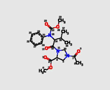 COC(=O)C1CN(C(C)=O)CN1C(=O)C(C(C)C)N(C(=O)OC)c1ccccc1